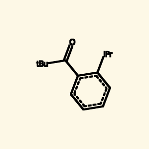 CC(C)c1ccccc1C(=O)C(C)(C)C